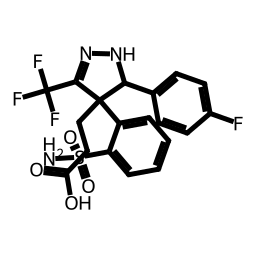 NS(=O)(=O)c1ccccc1C1(CCC(=O)O)C(C(F)(F)F)=NNC1c1ccc(F)cc1